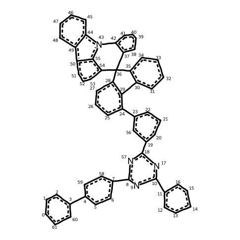 c1ccc(-c2ccc(-c3nc(-c4ccccc4)nc(-c4cccc(-c5cccc6c5-c5ccccc5C65c6ccccc6-n6c7ccccc7c7cccc5c76)c4)n3)cc2)cc1